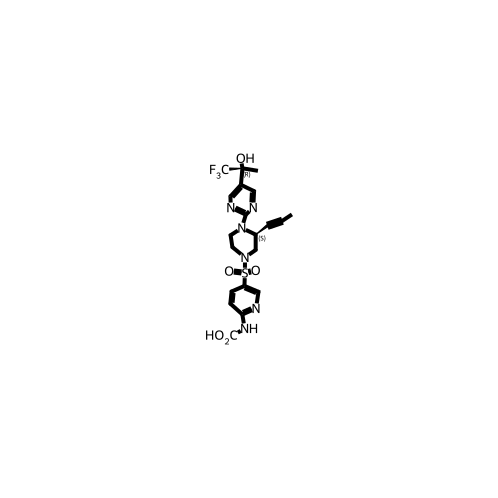 CC#C[C@H]1CN(S(=O)(=O)c2ccc(NC(=O)O)nc2)CCN1c1ncc([C@@](C)(O)C(F)(F)F)cn1